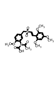 COc1cc(OC)c(C=CS(=O)(=O)Cc2ccc(OC)c(N(C(C)=O)C(=O)O)c2)c(OC)c1